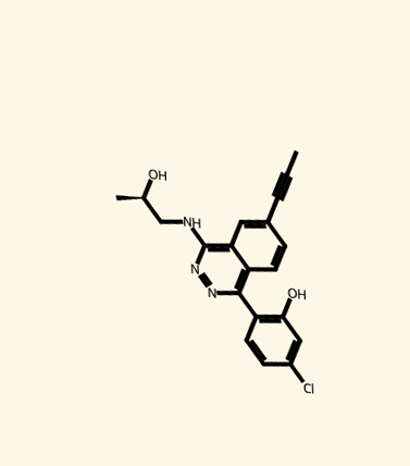 CC#Cc1ccc2c(-c3ccc(Cl)cc3O)nnc(NC[C@@H](C)O)c2c1